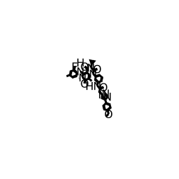 COc1ccc(-c2cn(CC(=O)Nc3cccc(-n4c(=O)n(C5CC5)c(=O)c5c(Nc6ccc(C)cc6F)n(C)c(=O)c(C)c54)c3)nn2)cc1